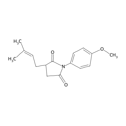 COc1ccc(N2C(=O)CC(CC=C(C)C)C2=O)cc1